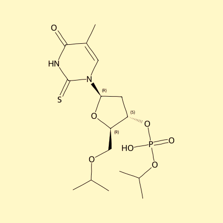 Cc1cn([C@H]2C[C@H](OP(=O)(O)OC(C)C)[C@@H](COC(C)C)O2)c(=S)[nH]c1=O